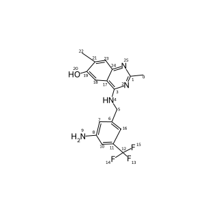 Cc1nc(NCc2cc(N)cc(C(F)(F)F)c2)c2cc(O)c(C)cc2n1